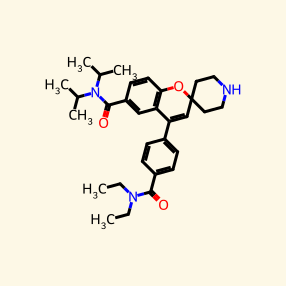 CCN(CC)C(=O)c1ccc(C2=CC3(CCNCC3)Oc3ccc(C(=O)N(C(C)C)C(C)C)cc32)cc1